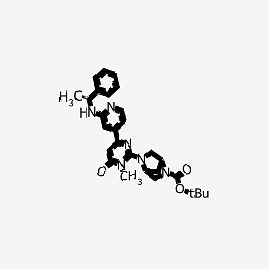 C[C@@H](Nc1cc(-c2cc(=O)n(C)c(N3CC4CC3CN4C(=O)OC(C)(C)C)n2)ccn1)c1ccccc1